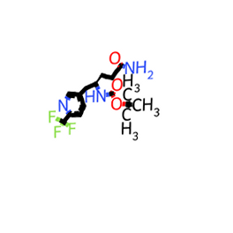 CC(C)(C)OC(=O)N[C@H](CCC(N)=O)Cc1ccc(C(F)(F)F)nc1